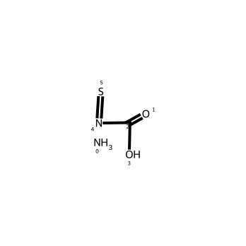 N.O=C(O)N=S